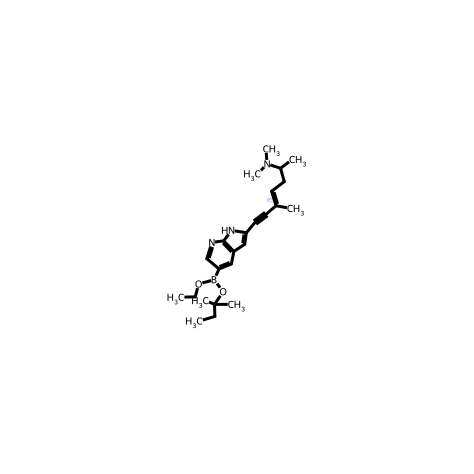 CCOB(OC(C)(C)CC)c1cnc2[nH]c(C#C/C(C)=C/CC(C)N(C)C)cc2c1